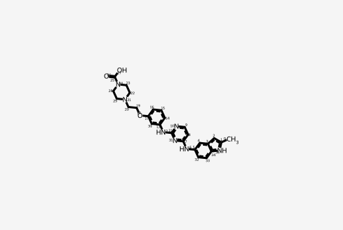 Cc1cc2cc(Nc3ccnc(Nc4cccc(OCCN5CCN(C(=O)O)CC5)c4)n3)ccc2[nH]1